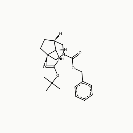 CC(C)(C)OC(=O)N[C@@H]1[C@@H]2CC[C@H]1CN(C(=O)OCc1ccccc1)C2